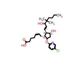 CCCCC(C)(C)C(O)/C=C/[C@@H]1[C@@H](C/C=C\CCCC(=O)O)[C@H](Oc2ccc(Cl)cn2)C[C@H]1O